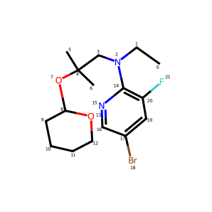 CCN(CC(C)(C)OC1CCCCO1)c1ncc(Br)cc1F